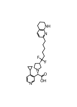 O=C(O)[C@@H](c1cnccc1C1CC1)N1CC[C@@H](C(F)(F)CCCCCc2ccc3c(n2)NCCC3)C1